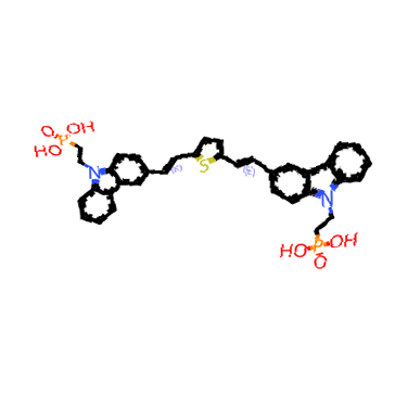 O=P(O)(O)CCn1c2ccccc2c2cc(/C=C/c3ccc(/C=C/c4ccc5c(c4)c4ccccc4n5CCP(=O)(O)O)s3)ccc21